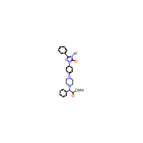 COC(=O)C(c1ccccc1)N1CCN(c2ccc(-n3nc(-c4ccccc4)n(C(C)C)c3=O)cc2)CC1